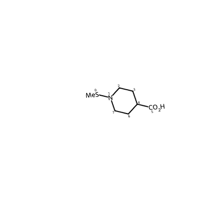 CSN1CCC(C(=O)O)CC1